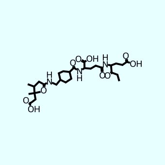 CCC(=O)C(CCC(=O)O)NC(=O)CCC(NC(=O)C1CCC(CNC(=O)CC(C)C(C)(C)CC(=O)O)CC1)C(=O)O